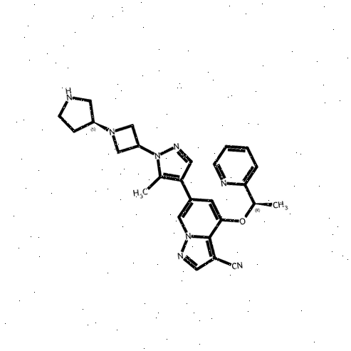 Cc1c(-c2cc(O[C@H](C)c3ccccn3)c3c(C#N)cnn3c2)cnn1C1CN([C@H]2CCNC2)C1